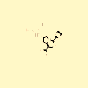 COC(=O)C1=C2C[C@H](NSN(C)C)CN2C(c2nccs2)=NC1